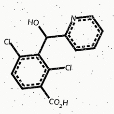 O=C(O)c1ccc(Cl)c(C(O)c2ccccn2)c1Cl